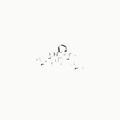 CBr.CC(C)C.CC(C)C.Nc1ccccn1.O=C(O)O.O=C(O)O